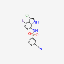 N#Cc1cccc(S(=O)(=O)Nc2ccc(I)c3c(Cl)c[nH]c23)c1